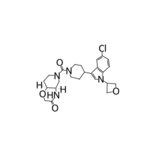 O=C1CO[C@H]2CCN(C(=O)N3CCC(c4cn(C5COC5)c5ccc(Cl)cc45)CC3)C[C@H]2N1